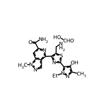 CCn1nc(C)c(O)c1-c1nc(-c2nc(C(N)=O)cc3c2cnn3C)c(CN)s1.O=CO